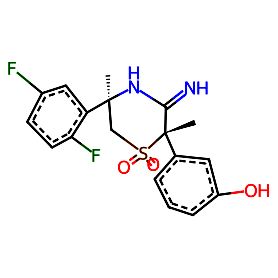 C[C@@]1(c2cc(F)ccc2F)CS(=O)(=O)[C@@](C)(c2cccc(O)c2)C(=N)N1